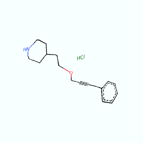 C(#Cc1ccccc1)COCCC1CCNCC1.Cl